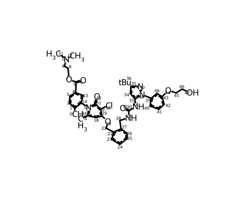 Cc1ccc(C(=O)OCCN(C)C)cc1-n1c(C)cc(OCc2ccccc2CNC(=O)Nc2cc(C(C)(C)C)nn2-c2cccc(OCCO)c2)c(Cl)c1=O